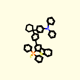 S=P(c1ccccc1)(c1ccccc1)c1cc(-c2ccc(C3(c4ccc(N(c5ccccc5)c5ccccc5)cc4)CCCCC3)cc2)cc2c1sc1ccccc12